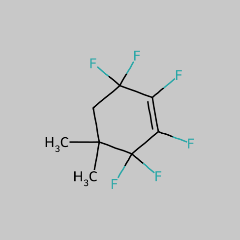 CC1(C)CC(F)(F)C(F)=C(F)C1(F)F